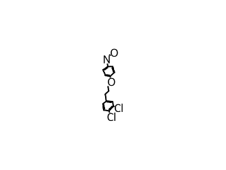 O=C=Nc1ccc(OCCCc2ccc(Cl)c(Cl)c2)cc1